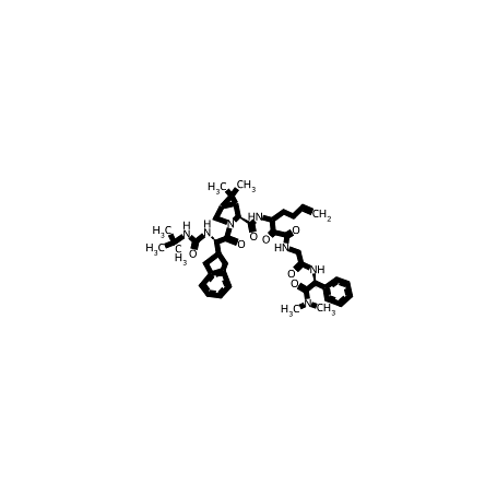 C=CCCC(NC(=O)[C@@H]1C2C(CN1C(=O)[C@@H](NC(=O)NC(C)(C)C)C1Cc3ccccc3C1)C2(C)C)C(=O)C(=O)NCC(=O)N[C@H](C(=O)N(C)C)c1ccccc1